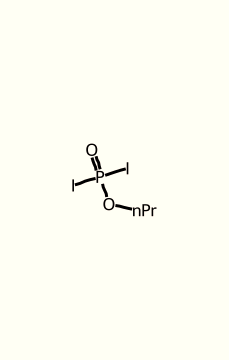 CCCOP(=O)(I)I